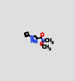 CON(C)C(=O)c1cn(C23CC(C2)C3)nn1